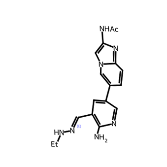 CCN/N=C/c1cc(-c2ccc3nc(NC(C)=O)cn3c2)cnc1N